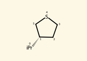 CC(C)[C@H]1CCSC1